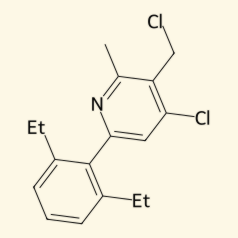 CCc1cccc(CC)c1-c1cc(Cl)c(CCl)c(C)n1